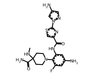 CNC1(C(N)=O)CCN(c2c(F)cc(N)cc2NC(=O)c2csc(-n3cc(N)cn3)n2)CC1